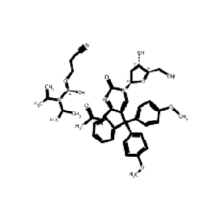 CC(C)N(C(C)C)[P@](O)OCCC#N.COc1ccc(C(c2ccccc2)(c2ccc(OC)cc2)c2cn([C@H]3C[C@H](O)[C@@H](CO)O3)c(=O)nc2NC(C)=O)cc1